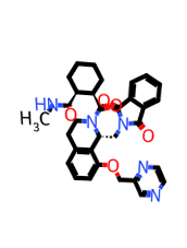 CNC(=O)[C@H]1CCCC[C@H]1C(=O)N1CCc2cccc(OCc3cnccn3)c2[C@H]1CN1C(=O)c2ccccc2C1=O